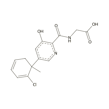 CC1(c2cnc(C(=O)NCC(=O)O)c(O)c2)CC=CC=C1Cl